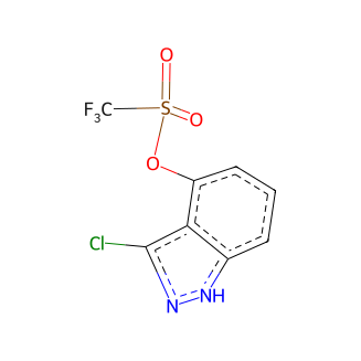 O=S(=O)(Oc1cccc2[nH]nc(Cl)c12)C(F)(F)F